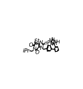 CCCCCc1nc2c(c(=O)n(CC(C)C)c(=O)n2CC)n1Cc1ccc(-c2ccccc2-c2nnn[nH]2)cc1